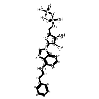 O=P(O)(O)OP(=O)(O)OCC1OC(n2cnc3c(NCCc4ccccc4)ncnc32)[C@H](O)[C@@H]1O